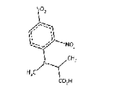 CC(C(=O)O)N(C)c1ccc([N+](=O)[O-])cc1[N+](=O)[O-]